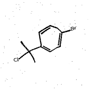 CC(C)(Cl)c1ccc(Br)cc1